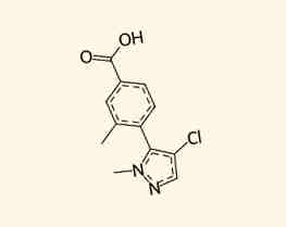 Cc1cc(C(=O)O)ccc1-c1c(Cl)cnn1C